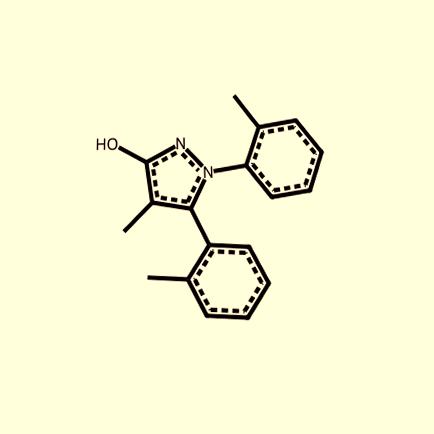 Cc1ccccc1-c1c(C)c(O)nn1-c1ccccc1C